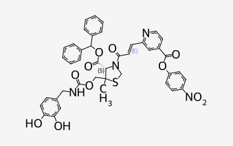 CC1(COC(=O)NCc2ccc(O)c(O)c2)SCN(C(=O)/C=C/c2cc(C(=O)Oc3ccc([N+](=O)[O-])cc3)ccn2)[C@H]1C(=O)OC(c1ccccc1)c1ccccc1